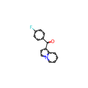 O=C(c1ccc(F)cc1)c1ccn2ccccc12